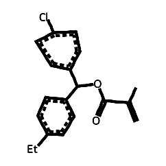 C=C(C)C(=O)OC(c1ccc(Cl)cc1)c1ccc(CC)cc1